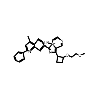 COCCOC1CCC1C1=C2C=NC=C[N+]2(N)C(c2ccc3c(C)cc(-c4ccccc4)nc3c2)=N1